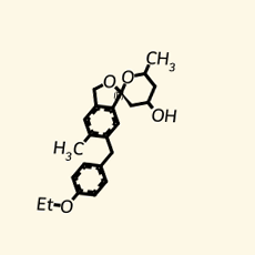 CCOc1ccc(Cc2cc3c(cc2C)CO[C@@]32CC(O)CC(C)O2)cc1